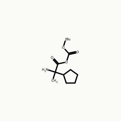 CC(C)(C)OC(=O)OC(=O)C(C)(N)C1CCCC1